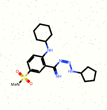 CNS(=O)(=O)c1ccc(NC2CCCCC2)c(C(=N)/N=N\NC2CCCC2)c1